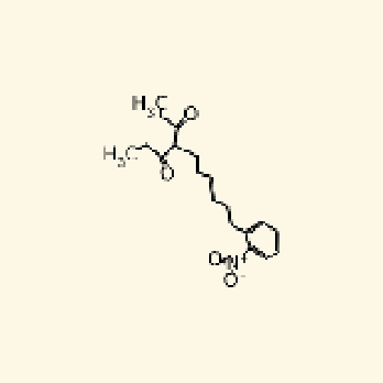 CCC(=O)C(CCC=CCCc1ccccc1[N+](=O)[O-])C(=O)CC